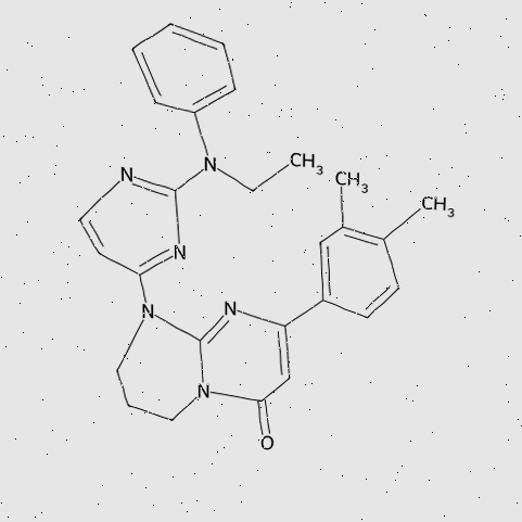 CCN(c1ccccc1)c1nccc(N2CCCn3c2nc(-c2ccc(C)c(C)c2)cc3=O)n1